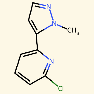 Cn1nccc1-c1cccc(Cl)n1